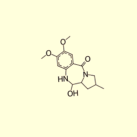 COc1cc2c(cc1OC)C(=O)N1CC(C)CC1C(O)N2